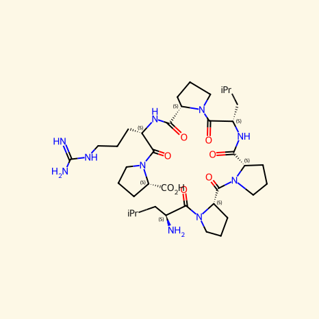 CC(C)C[C@H](NC(=O)[C@@H]1CCCN1C(=O)[C@@H]1CCCN1C(=O)[C@@H](N)CC(C)C)C(=O)N1CCC[C@H]1C(=O)N[C@@H](CCCNC(=N)N)C(=O)N1CCC[C@H]1C(=O)O